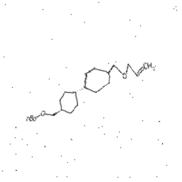 C=CCOCC1CCC([C@H]2CC[C@H](COCCCC)CC2)CC1